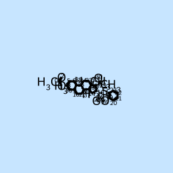 CC(=O)O[C@H]1CC[C@@]2(C)C(=CC[C@H]3[C@@H]4C[C@@H](C(Sc5ccccc5)[N+](=O)[O-])[C@H](C(C)=O)[C@@]4(C)CC[C@@H]32)C1